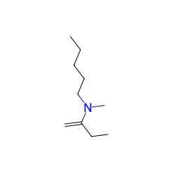 C=C(CC)N(C)CCCCC